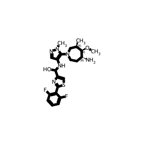 CO[C@@H]1[C@H](C)CN(c2c(NC(O)c3csc(-c4c(F)cccc4F)n3)cnn2C)CC[C@H]1N